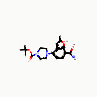 Cc1cc2c(N3CCN(C(=O)OC(C)(C)C)CC3)ccc(C(N)=O)c2o1